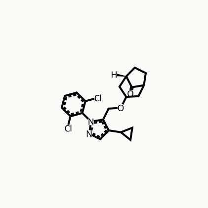 O=C1C2CC[C@H]1CC(OCc1c(C3CC3)cnn1-c1c(Cl)cccc1Cl)C2